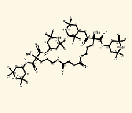 CCCCC(CCCOC(=O)CCC(=O)OCCCC(CCCC)(C(=O)OC1CC(C)(C)NC(C)(C)C1)C(=O)OC1CC(C)(C)NC(C)(C)C1)(C(=O)CC1CC(C)(C)NCC1(C)C)C(=O)OC1CC(C)(C)NC(C)(C)C1